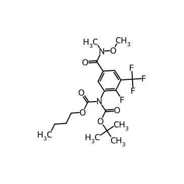 CCCCOC(=O)N(C(=O)OC(C)(C)C)c1cc(C(=O)N(C)OC)cc(C(F)(F)F)c1F